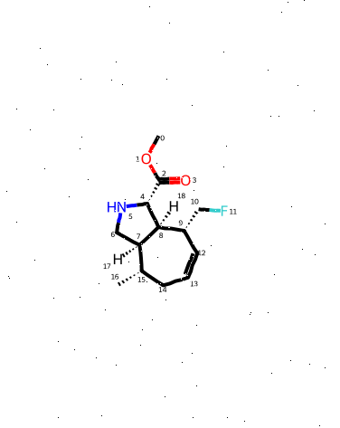 COC(=O)[C@H]1NC[C@H]2[C@@H]1[C@H](CF)C=CC[C@@H]2C